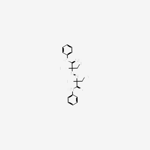 CC(C)CC(C)(N=NC(C)(CC(C)C)C(=N)Nc1ccccc1)C(=N)Nc1ccccc1